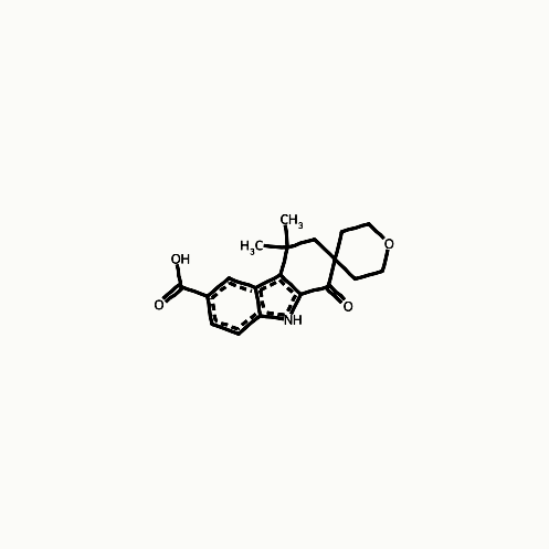 CC1(C)CC2(CCOCC2)C(=O)c2[nH]c3ccc(C(=O)O)cc3c21